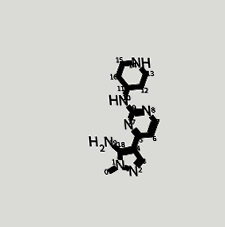 Cn1ncc(-c2ccnc(NC3CCNCC3)n2)c1N